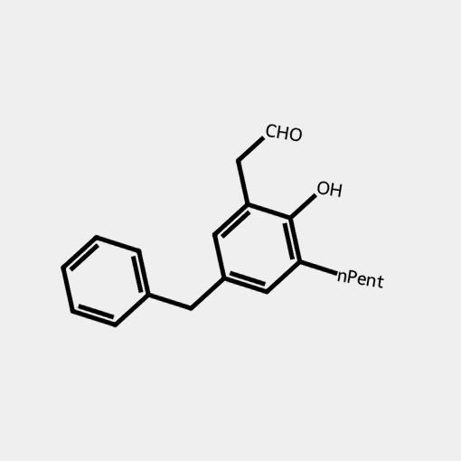 CCCCCc1cc(Cc2ccccc2)cc(CC=O)c1O